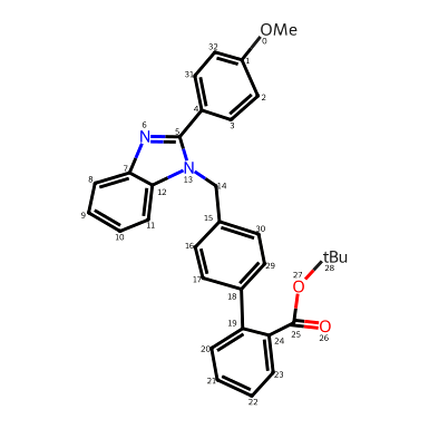 COc1ccc(-c2nc3ccccc3n2Cc2ccc(-c3ccccc3C(=O)OC(C)(C)C)cc2)cc1